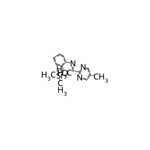 CC(=Nc1ccccc1O[SiH](C)C)c1ncc(C)cn1